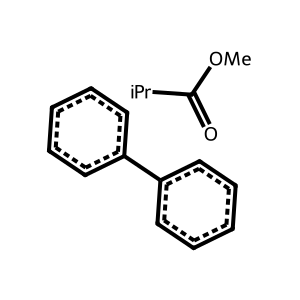 COC(=O)C(C)C.c1ccc(-c2ccccc2)cc1